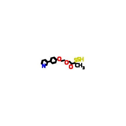 CC(SS)C(=O)COCCOc1ccc(-c2cccnc2)cc1